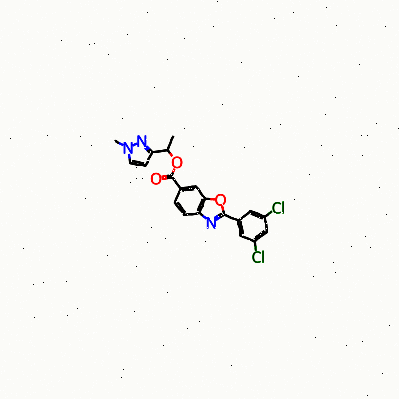 CC(OC(=O)c1ccc2nc(-c3cc(Cl)cc(Cl)c3)oc2c1)c1ccn(C)n1